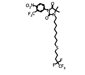 CC1(C)C(=O)N(c2ccc([N+](=O)[O-])c(C(F)(F)F)c2)C(=O)N1CCCCCCCCSCCCC(F)(F)C(F)(F)F